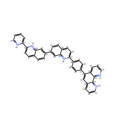 c1ccc(-c2ccc3ccc(-c4ccc5ccc(-c6ccc(-c7cc8cccnc8c8ncccc78)cc6)nc5c4)cc3n2)nc1